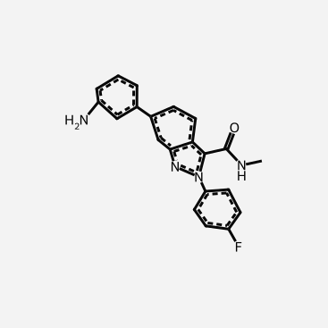 CNC(=O)c1c2ccc(-c3cccc(N)c3)cc2nn1-c1ccc(F)cc1